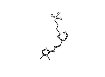 Cc1cs/c(=N\N=C\c2ccc[n+](CCCS(=O)(=O)[O-])c2)n1C